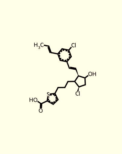 C/C=C/c1cc(Cl)cc(/C=C/[C@H]2C(O)C[C@@H](Cl)C2CCCc2ccc(C(=O)O)s2)c1